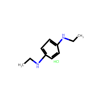 CCNc1ccc(NCC)cc1.Cl